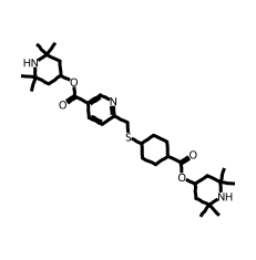 CC1(C)CC(OC(=O)c2ccc(CSC3CCC(C(=O)OC4CC(C)(C)NC(C)(C)C4)CC3)nc2)CC(C)(C)N1